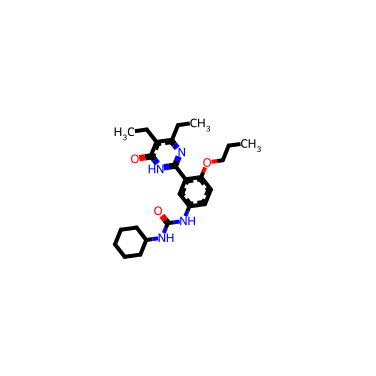 CCCOc1ccc(NC(=O)NC2CCCCC2)cc1-c1nc(CC)c(CC)c(=O)[nH]1